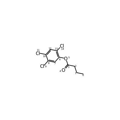 CCCC(=O)Oc1cc(Cl)c(Cl)cc1Cl